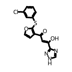 O=C(C=C(O)c1nc[nH]n1)c1ccoc1Sc1cccc(Cl)c1